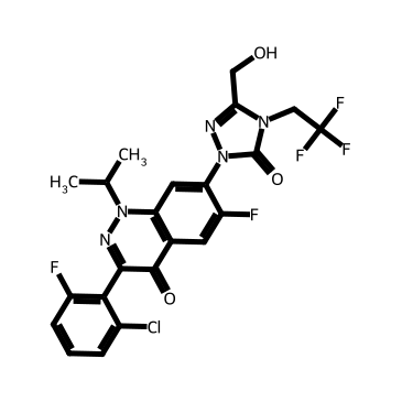 CC(C)n1nc(-c2c(F)cccc2Cl)c(=O)c2cc(F)c(-n3nc(CO)n(CC(F)(F)F)c3=O)cc21